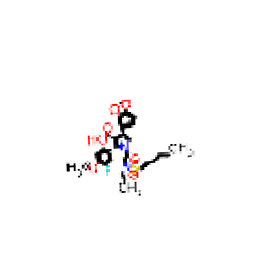 CCCCCCS(=O)(=O)N(CCC)CCN1CC(c2ccc3c(c2)OCO3)[C@H](C(=O)O)[C@H]1c1ccc(OC)c(F)c1